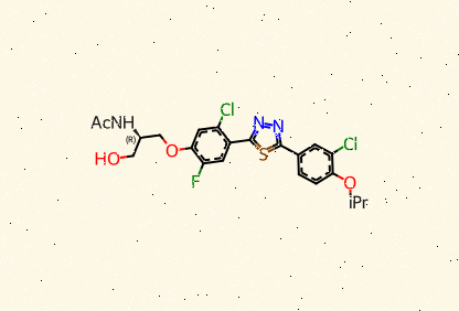 CC(=O)N[C@H](CO)COc1cc(Cl)c(-c2nnc(-c3ccc(OC(C)C)c(Cl)c3)s2)cc1F